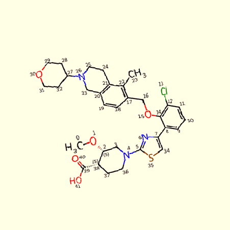 CO[C@@H]1CN(c2nc(-c3cccc(Cl)c3OCc3ccc4c(c3C)CCN(C3CCOCC3)C4)cs2)CC[C@@H]1C(=O)O